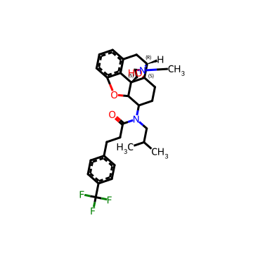 CC(C)CN(C(=O)CCc1ccc(C(F)(F)F)cc1)C1CC[C@@]2(O)[C@H]3Cc4cccc5c4[C@@]2(CCN3C)C1O5